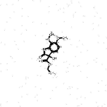 CCOC(=O)C1(O)C(=O)Nc2c1ccc(OC)c2OC